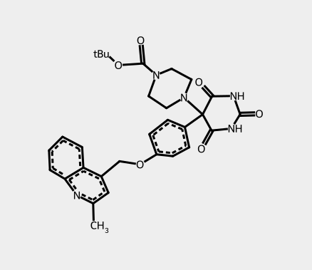 Cc1cc(COc2ccc(C3(N4CCN(C(=O)OC(C)(C)C)CC4)C(=O)NC(=O)NC3=O)cc2)c2ccccc2n1